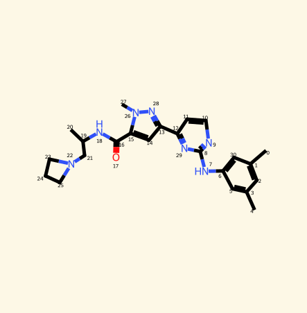 Cc1cc(C)cc(Nc2nccc(-c3cc(C(=O)NC(C)CN4CCC4)n(C)n3)n2)c1